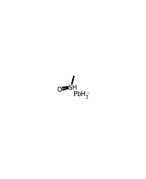 C[SH]=O.[PbH2]